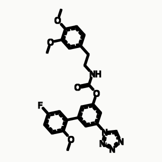 COc1ccc(CCNC(=O)Oc2cc(-c3cc(F)ccc3OC)cc(-n3cnnn3)c2)cc1OC